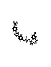 CC(C)c1cc(F)ccc1N1C(=O)CS/C1=N\CNCc1ccc(-c2ncn(-c3ccc(OC(F)(F)F)cc3)n2)cc1